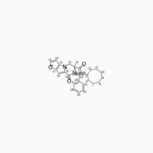 CC1(C(=O)NC2CCCCCCC2)Cn2c(cc3occc32)C(=O)N1Cc1ccccc1